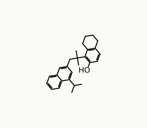 CC(C)c1cc(CC(C)(C)c2c(O)ccc3c2CCCC3)cc2ccccc12